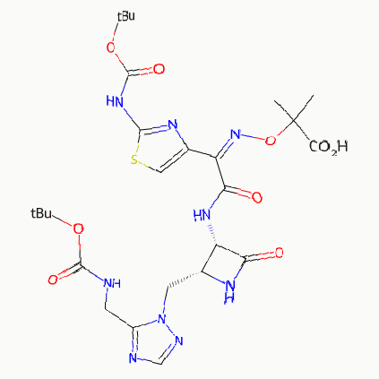 CC(C)(C)OC(=O)NCc1ncnn1C[C@H]1NC(=O)[C@H]1NC(=O)/C(=N\OC(C)(C)C(=O)O)c1csc(NC(=O)OC(C)(C)C)n1